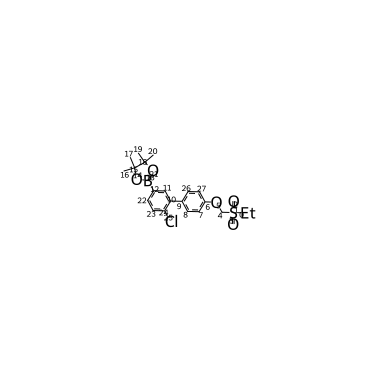 CCS(=O)(=O)COc1ccc(-c2cc(B3OC(C)(C)C(C)(C)O3)ccc2Cl)cc1